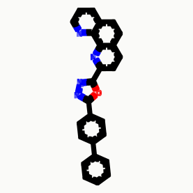 c1ccc(-c2ccc(-c3nnc(-c4ccc5ccc6cccnc6c5n4)o3)cc2)cc1